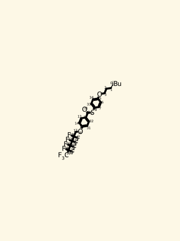 CC[C@H](C)CCCOc1ccc(SC(=O)c2ccc(OCC(F)(F)C(F)(F)C(F)(F)C(F)(F)C(F)(F)F)cc2)cc1